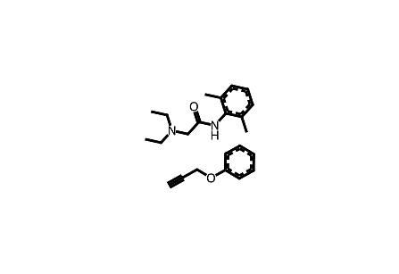 C#CCOc1ccccc1.CCN(CC)CC(=O)Nc1c(C)cccc1C